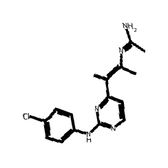 C/C(N)=N\C(C)=C(/C)c1ccnc(Nc2ccc(Cl)cc2)n1